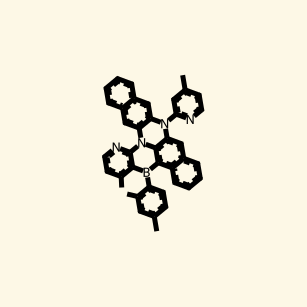 Cc1ccnc(N2c3cc4ccccc4cc3N3c4nccc(C)c4B(c4ccc(C)cc4C)c4c3c2cc2ccccc42)c1